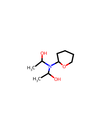 CC(O)N(C(C)O)C1CCCCO1